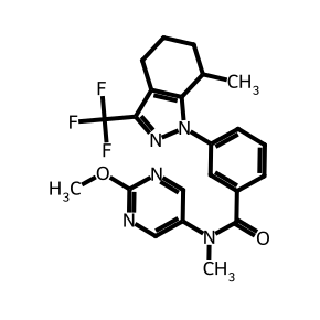 COc1ncc(N(C)C(=O)c2cccc(-n3nc(C(F)(F)F)c4c3C(C)CCC4)c2)cn1